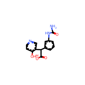 NC(=O)Nc1cccc(C(C(=O)O)c2cnccc2O)c1